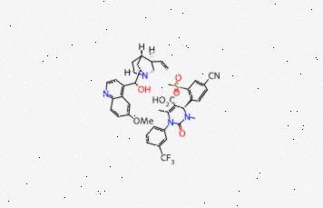 C=C[C@H]1C[N@]2CC[C@H]1C[C@@H]2[C@@H](O)c1ccnc2ccc(OC)cc12.CC1=C(C(=O)O)[C@@H](c2ccc(C#N)cc2S(C)(=O)=O)N(C)C(=O)N1c1cccc(C(F)(F)F)c1